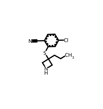 CCCC1(Sc2cc(Cl)ccc2C#N)CNC1